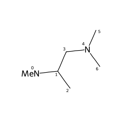 [CH2]NC(C)CN(C)C